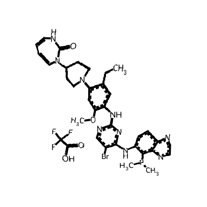 CCc1cc(Nc2ncc(Br)c(Nc3ccc4nccnc4c3P(C)C)n2)c(OC)cc1N1CCC(N2C=CC=CNC2=O)CC1.O=C(O)C(F)(F)F